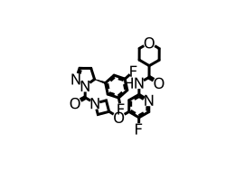 O=C(Nc1cc(OC2CN(C(=O)N3N=CC[C@H]3c3cc(F)cc(F)c3)C2)c(F)cn1)C1CCOCC1